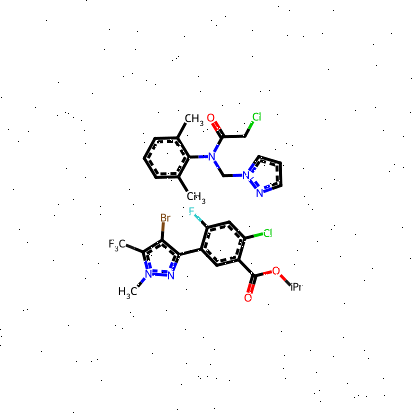 CC(C)OC(=O)c1cc(-c2nn(C)c(C(F)(F)F)c2Br)c(F)cc1Cl.Cc1cccc(C)c1N(Cn1cccn1)C(=O)CCl